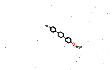 CCCCCCCOc1ccc([C@H]2CC[C@H](c3ccc(C#N)cc3)CC2)cc1